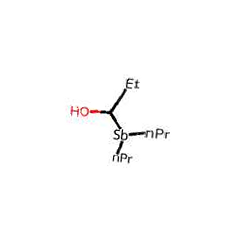 CC[CH2][Sb]([CH2]CC)[CH](O)CC